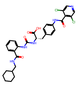 O=C(Nc1ccccc1C(=O)NCC1CCCCC1)N[C@@H](Cc1ccc(NC(=O)c2c(Cl)cncc2Cl)cc1)C(=O)O